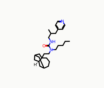 CCCCCN(CCC12CCCC3CC(C[C@@H]1C3)C2)C(=O)NCC(C)Cc1ccncc1